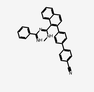 CN/C(=N\C(=N)c1ccccc1)c1c(-c2ccc(-c3ccc(C#N)cc3)cc2)ccc2ccccc12